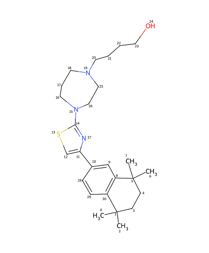 CC1(C)CCC(C)(C)c2cc(-c3csc(N4CCCN(CCCCO)CC4)n3)ccc21